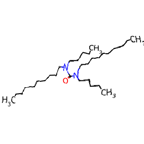 CCCCCCCCCCN(CCCCC)C(=O)N(CCCCC)CCCCCCCCCC